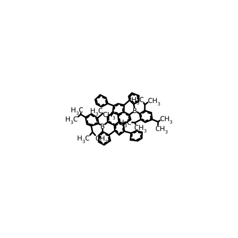 CC(C)c1cc(C(C)C)c(B2c3ccccc3-c3cc(-c4ccccc4)c4cc5c6c(cc(-c7ccccc7)c7cc2c3c4c76)-c2ccccc2B5c2c(C(C)C)cc(C(C)C)cc2C(C)C)c(C(C)C)c1